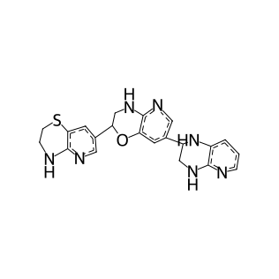 c1cnc2c(c1)NC(c1cnc3c(c1)OC(c1cnc4c(c1)SCCN4)CN3)CN2